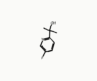 CC(C)(O)c1ccc(F)cn1